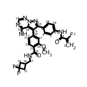 C=C(F)C(=O)Nc1ccc(-c2nn3ncnc(N)c3c2-c2ccc(C(=O)NCC3CC(F)(F)C3)c(OC)c2)cc1